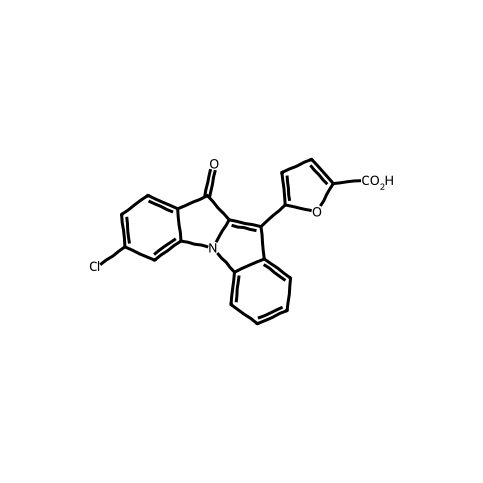 O=C(O)c1ccc(-c2c3n(c4ccccc24)-c2cc(Cl)ccc2C3=O)o1